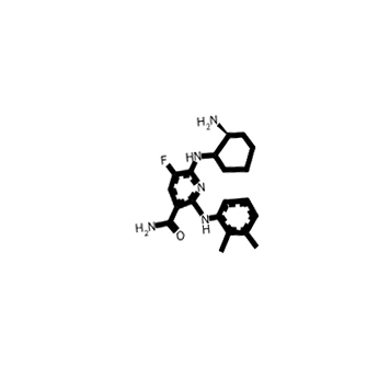 Cc1cccc(Nc2nc(NC3CCCC[C@@H]3N)c(F)cc2C(N)=O)c1C